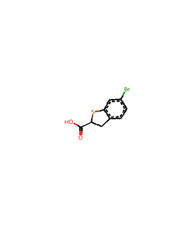 O=C(O)C1Cc2ccc(Br)cc2S1